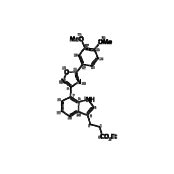 CCOC(=O)CCc1c[nH]c2c(-c3noc(-c4ccc(OC)c(OC)c4)n3)cccc12